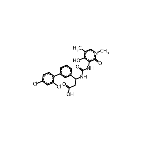 Cc1cn(C)c(=O)c(NC(=O)NC(CC(=O)O)c2cccc(-c3ccc(Cl)cc3Cl)c2)c1O